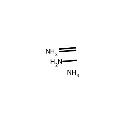 C=C.CN.N.N